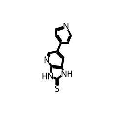 S=c1[nH]c2cc(-c3ccncc3)cnc2[nH]1